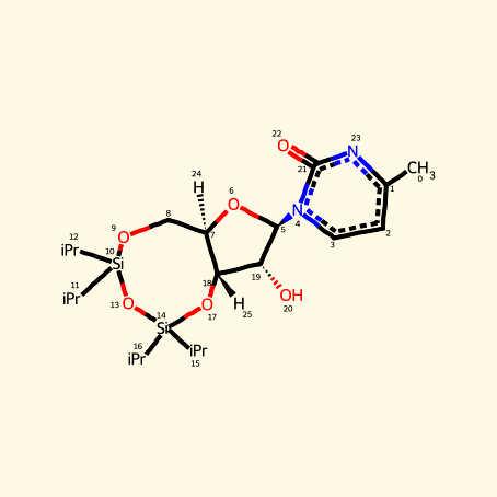 Cc1ccn([C@@H]2O[C@@H]3CO[Si](C(C)C)(C(C)C)O[Si](C(C)C)(C(C)C)O[C@H]3[C@H]2O)c(=O)n1